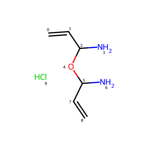 C=CC(N)OC(N)C=C.Cl